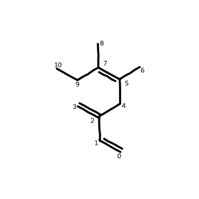 C=CC(=C)CC(C)=C(C)CC